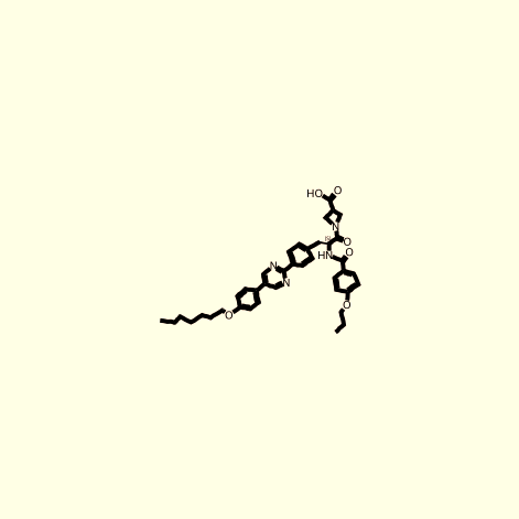 CCCCCCCOc1ccc(-c2cnc(-c3ccc(C[C@H](NC(=O)c4ccc(OCCC)cc4)C(=O)N4CC(C(=O)O)C4)cc3)nc2)cc1